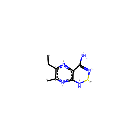 CCc1nc2c(nc1C)NSN=C2N